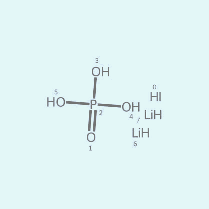 I.O=P(O)(O)O.[LiH].[LiH]